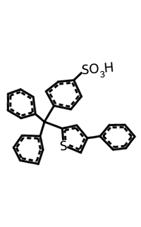 O=S(=O)(O)c1ccc(C(c2ccccc2)(c2ccccc2)c2cc(-c3ccccc3)cs2)cc1